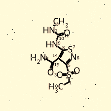 CCS(=O)(=O)c1nsc(NC(=O)NC)c1C(N)=O